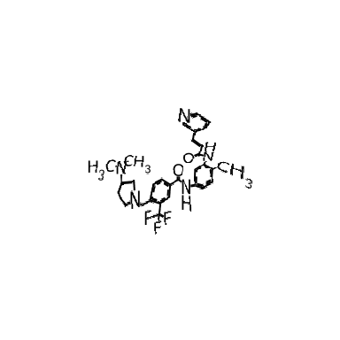 Cc1ccc(NC(=O)c2ccc(CN3CC[C@@H](N(C)C)C3)c(C(F)(F)F)c2)cc1NC(=O)C=Cc1cccnc1